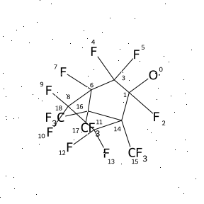 [O]C1(F)C(F)(F)C2(F)C(F)(F)C(F)(F)C1(C(F)(F)F)C2(C(F)(F)F)C(F)(F)F